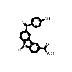 CCCCCCCCC(=O)c1ccc2c(c1)c1cc(C(=O)c3ccc(O)cc3)ccc1n2CC